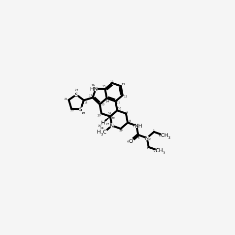 CCN(CC)C(=O)NC1CC2c3cccc4[nH]c(C5SCCS5)c(c34)C[C@H]2N(C)C1